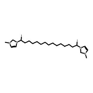 CN1C=CN(C(I)CCCCCCCCCCCCCC(I)N2C=CN(C)C2)C1